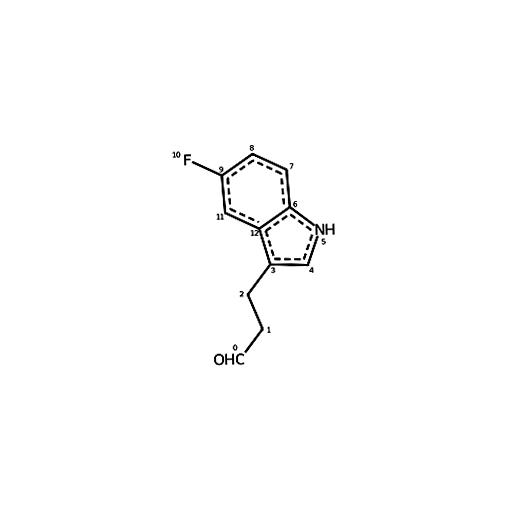 O=CCCc1c[nH]c2ccc(F)cc12